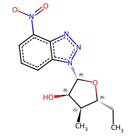 CC[C@H]1O[C@@H](n2nnc3c([N+](=O)[O-])cccc32)[C@H](O)[C@@H]1C